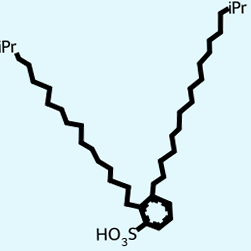 CC(C)CCCCCCCCCCCCCCCc1cccc(S(=O)(=O)O)c1CCCCCCCCCCCCCCCC(C)C